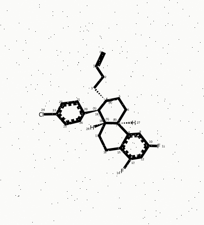 C=CCC[C@@H]1CC[C@H]2c3cc(F)cc(F)c3CC[C@@H]2[C@H]1c1ccc(Cl)cc1